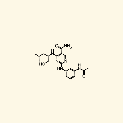 CC(=O)Nc1cccc(Nc2ncc(C(N)=O)c(NC(CO)CC(C)C)n2)c1